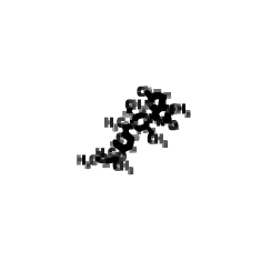 CC[C@H]1CN(C(C)c2ccc(OC(C)(C)COC)cc2)[C@H](CC)CN1c1nc(=O)n(C)c2ccc(Cl)nc12